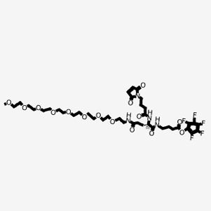 COCCOCCOCCOCCOCCOCCOCCOCCNC(=O)CC[C@H](NC(=O)CCCN1C(=O)C=CC1=O)C(=O)NCCCC(=O)Oc1c(F)c(F)c(F)c(F)c1F